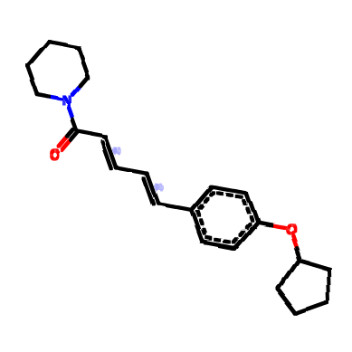 O=C(/C=C/C=C/c1ccc(OC2CCCC2)cc1)N1CCCCC1